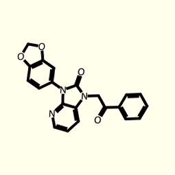 O=C(Cn1c(=O)n(-c2ccc3c(c2)OCO3)c2ncccc21)c1ccccc1